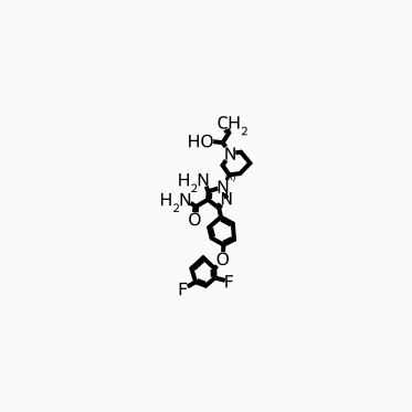 C=CC(O)N1CCC[C@@H](n2nc(-c3ccc(Oc4ccc(F)cc4F)cc3)c(C(N)=O)c2N)C1